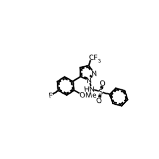 COc1cc(F)ccc1-c1cc(C(F)(F)F)nn1NS(=O)(=O)c1ccccc1